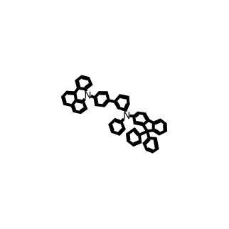 c1ccc(N(c2cccc(-c3ccc(N4c5ccccc5-c5cccc6cccc4c56)cc3)c2)c2ccc3c(c2)C(c2ccccc2)(c2ccccc2)c2ccccc2-3)cc1